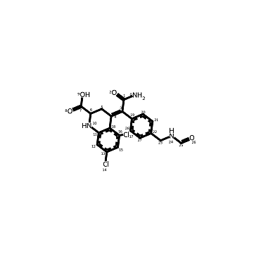 NC(=O)/C(=C1\CC(C(=O)O)Nc2cc(Cl)cc(Cl)c21)c1ccc(CNC=O)cc1